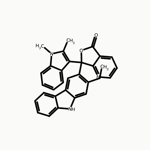 CCc1cc2[nH]c3ccccc3c2cc1C1(c2c(C)n(C)c3ccccc23)OC(=O)c2cccnc21